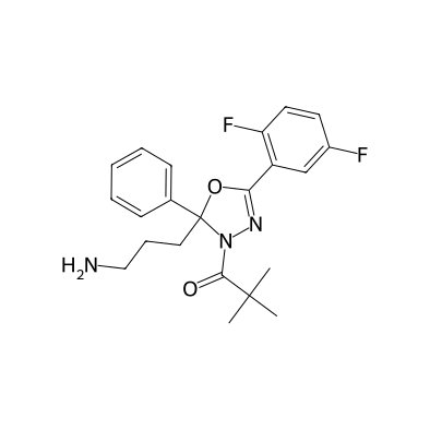 CC(C)(C)C(=O)N1N=C(c2cc(F)ccc2F)OC1(CCCN)c1ccccc1